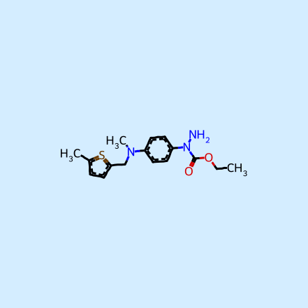 CCOC(=O)N(N)c1ccc(N(C)Cc2ccc(C)s2)cc1